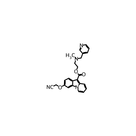 CN(CCOC(=O)c1c2ccc(OCC#N)cc2n2ccccc12)Cc1cccnc1